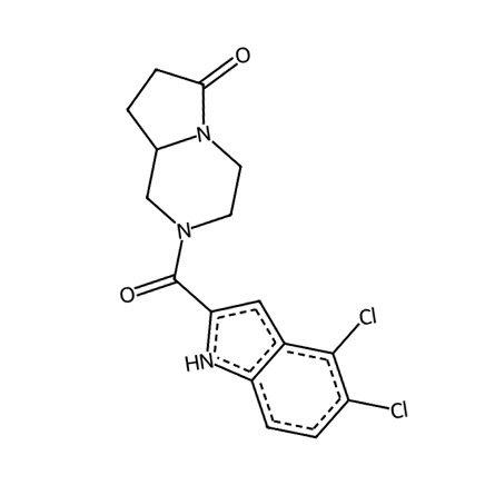 O=C(c1cc2c(Cl)c(Cl)ccc2[nH]1)N1CCN2C(=O)CCC2C1